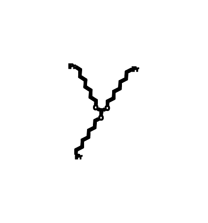 CC(C)CCCCCCCOB(OCCCCCCCC(C)C)OCCCCCCCC(C)C